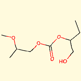 CCC(CO)OC(=O)OCC(C)OC